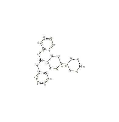 c1ccc(CN(Cc2ccccc2)C2CCN(C3CC[N]CC3)CC2)cc1